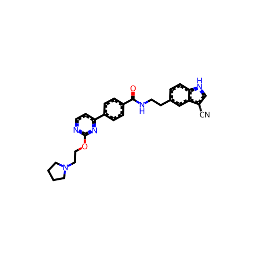 N#Cc1c[nH]c2ccc(CCNC(=O)c3ccc(-c4ccnc(OCCN5CCCC5)n4)cc3)cc12